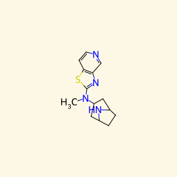 CN(c1nc2cnccc2s1)C1CC2CCC(C1)N2